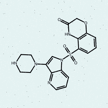 O=C1COc2cccc(S(=O)(=O)n3cc(N4CCNCC4)c4ncccc43)c2N1